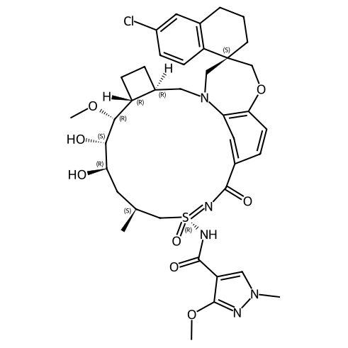 COc1nn(C)cc1C(=O)N[S@@]1(=O)=NC(=O)c2ccc3c(c2)N(C[C@@H]2CC[C@H]2[C@@H](OC)[C@@H](O)[C@H](O)C[C@H](C)C1)C[C@@]1(CCCc2cc(Cl)ccc21)CO3